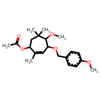 COc1ccc(COC2C=C(C)C(OC(C)=O)CC(C)(C)C2OC)cc1